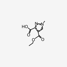 CCOC(=O)c1cn(C)nc1C(=O)O